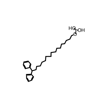 OP(O)OCCCCCCCCCCCCCCCCC(c1ccccc1)c1ccccc1